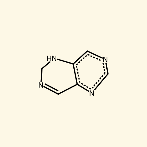 C1=NCNc2cncnc21